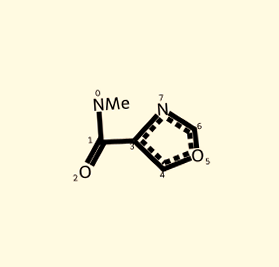 [CH2]NC(=O)c1cocn1